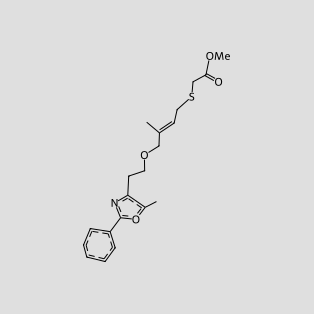 COC(=O)CSC/C=C(\C)COCCc1nc(-c2ccccc2)oc1C